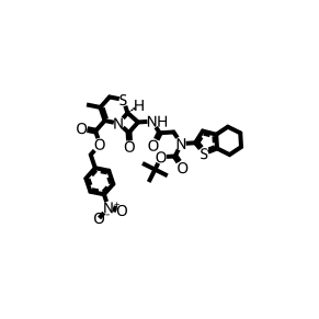 CC1=C(C(=O)OCc2ccc([N+](=O)[O-])cc2)N2C(=O)C(NC(=O)CN(C(=O)OC(C)(C)C)c3cc4c(s3)CCCC4)[C@@H]2SC1